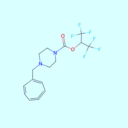 O=C(OC(C(F)(F)F)C(F)(F)F)N1CCN(CC2=CC=C=CC=C2)CC1